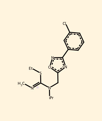 CCS/C(=N\C)N(Cc1nc(-c2cccc(Cl)c2)no1)C(C)C